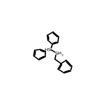 c1ccc(C[SiH2][SiH](c2ccccc2)c2ccccc2)cc1